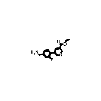 CCOC(=O)c1cncc(-c2ccc(CN)cc2F)c1